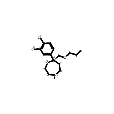 CCCOC[C@@]1(c2ccc(Cl)c(Cl)c2)CCNCCO1